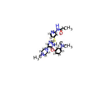 CCC(=O)Nc1cc(Sc2ncc(N3CCN(C)CC3)c(Oc3cccc(N(C)C)c3)n2)ccn1